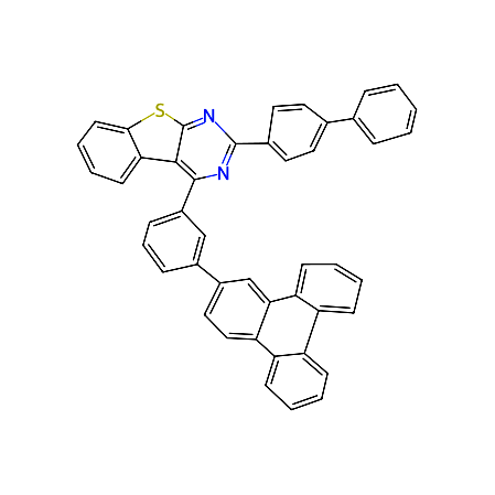 c1ccc(-c2ccc(-c3nc(-c4cccc(-c5ccc6c7ccccc7c7ccccc7c6c5)c4)c4c(n3)sc3ccccc34)cc2)cc1